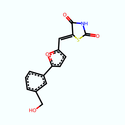 O=C1NC(=O)C(=Cc2ccc(-c3cccc(CO)c3)o2)S1